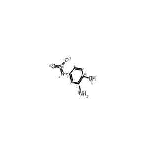 Nc1cc(N=S(=O)=O)ccc1O